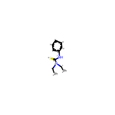 CC(C)CN(CC(C)C)C(=S)Nc1ccccc1